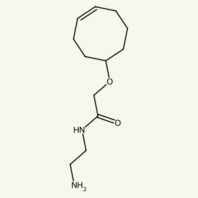 NCCNC(=O)COC1CCC=CCCC1